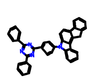 c1ccc(-c2nc(-c3ccccc3)nc(-c3ccc(-n4c5ccccc5c5c6c(ccc54)-c4ccccc4C6)cc3)n2)cc1